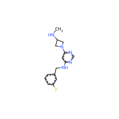 CNC1CN(c2cc(NCc3cccc(F)c3)ncn2)C1